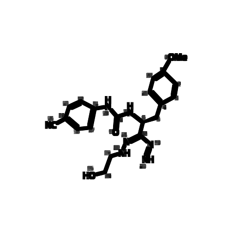 COc1ccc(C[C@H](NC(=O)Nc2ccc(C#N)cc2)/C(N=N)=N/NCCO)cc1